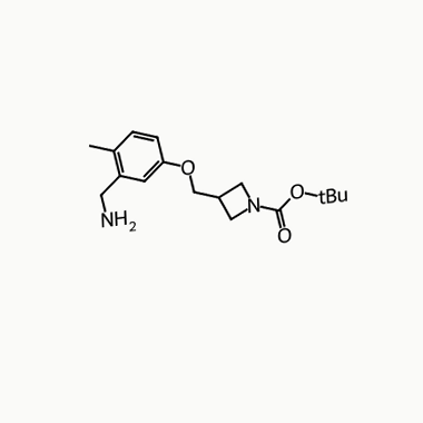 Cc1ccc(OCC2CN(C(=O)OC(C)(C)C)C2)cc1CN